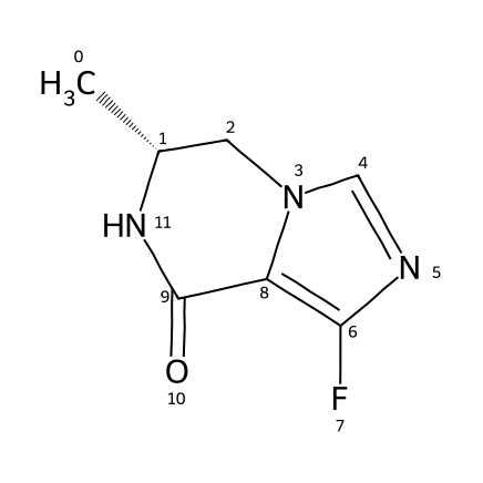 C[C@@H]1Cn2cnc(F)c2C(=O)N1